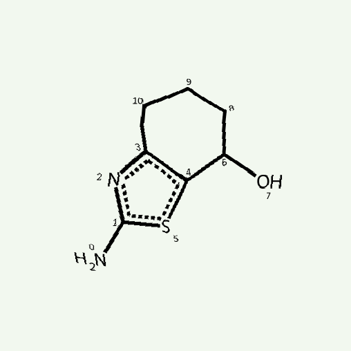 Nc1nc2c(s1)C(O)CCC2